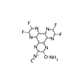 [C-]#[N+]c1nc2c3nc(F)c(F)nc3c3nc(F)c(F)nc3c2nc1ON